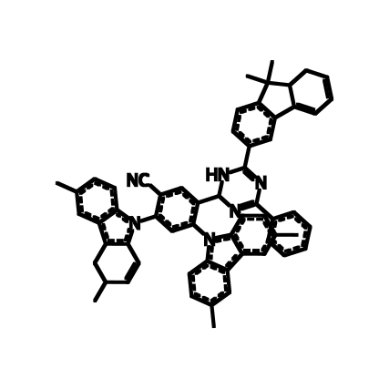 Cc1ccc2c(c1)c1c(n2-c2cc(-n3c4ccc(C)cc4c4cc(C)ccc43)c(C3N=C(c4ccccc4)N=C(c4ccc5c(c4)C4=CC=CCC4C5(C)C)N3)cc2C#N)C=CC(C)C1